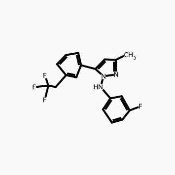 Cc1cc(-c2cccc(CC(F)(F)F)c2)n(Nc2cccc(F)c2)n1